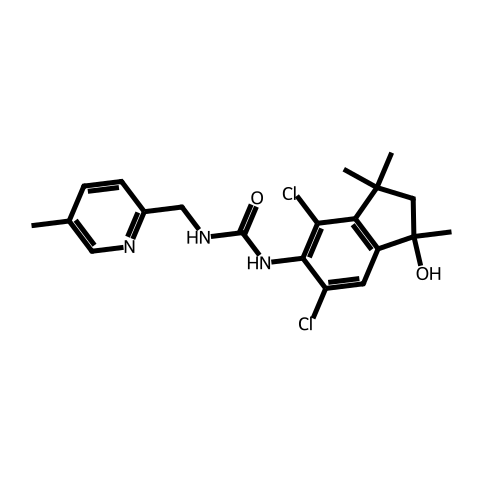 Cc1ccc(CNC(=O)Nc2c(Cl)cc3c(c2Cl)C(C)(C)CC3(C)O)nc1